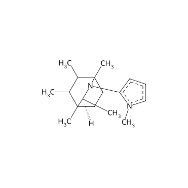 CC1C(C)C2(C)CCC1(C)[C@H](C)N2c1cccn1C